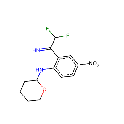 N=C(c1cc([N+](=O)[O-])ccc1NC1CCCCO1)C(F)F